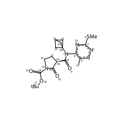 CSc1ncc(C)c(N(C(=O)[C@@H]2CCN(C(=O)OC(C)(C)C)C2=O)C23CC(C2)C3)n1